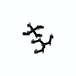 CCO[SiH](OCC)OCC.CC[Si](OC)(OC)OC